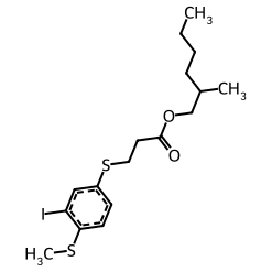 CCCCC(C)COC(=O)CCSc1ccc(SC)c(I)c1